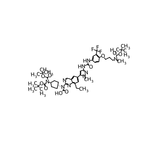 CCc1cc(-c2cc(NC(=O)Nc3ccc(OCCCN(C)C(=O)OC(C)(C)C)c(C(F)(F)F)c3)nn2C)cc2cnc(N(C(=O)O)[C@H]3CC[C@H](N(C(=O)OC(C)(C)C)C(=O)OC(C)(C)C)CC3)nc12